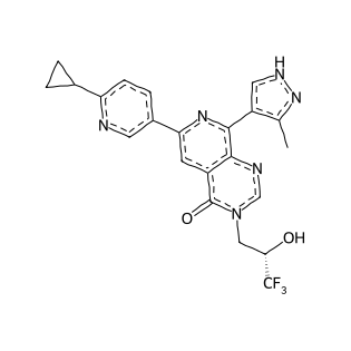 Cc1n[nH]cc1-c1nc(-c2ccc(C3CC3)nc2)cc2c(=O)n(C[C@H](O)C(F)(F)F)cnc12